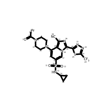 CC(C)C(=O)N1CCN(c2cc(S(=O)(=O)NC3CC3)cn3c(-c4nnc(C(F)(F)F)s4)nc(C#N)c23)CC1